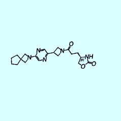 O=C1N[C@H](CCC(=O)N2CC(c3cnc(N4CC5(CCCC5)C4)cn3)C2)CO1